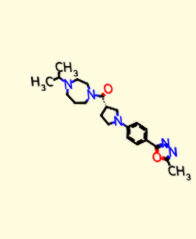 Cc1nnc(-c2ccc(N3CC[C@H](C(=O)N4CCCN(C(C)C)CC4)C3)cc2)o1